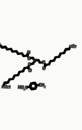 CCCCCCCCC=CCCCCCCCC(=O)OCCN(COC(=O)CCCCCCCC=CCCCCCCCC)COC(=O)CCCCCCCC=CCCCCCCCC.Cc1ccc(S(=O)(=O)O)cc1